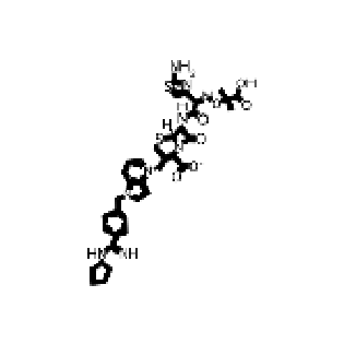 CC(C)(O/N=C(\C(=O)N[C@@H]1C(=O)N2C(C(=O)[O-])=C(C[n+]3cccc4c3ccn4Cc3ccc(C(=N)NC4CCCC4)cc3)CS[C@H]12)c1csc(N)n1)C(=O)O